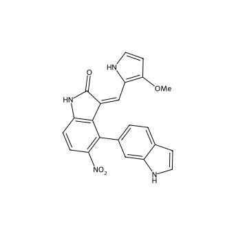 COc1cc[nH]c1C=C1C(=O)Nc2ccc([N+](=O)[O-])c(-c3ccc4cc[nH]c4c3)c21